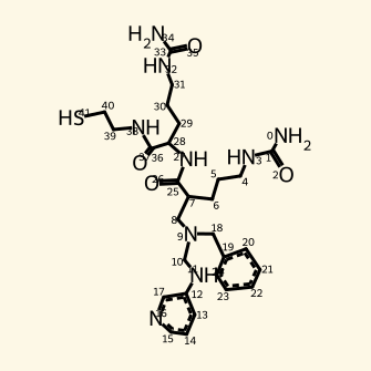 NC(=O)NCCCC(CN(CNc1cccnc1)Cc1ccccc1)C(=O)NC(CCCNC(N)=O)C(=O)NCCS